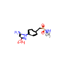 CNS(=O)(=O)Cc1ccc(-n2nc(O)cc2N)cc1